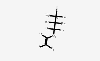 C/C(F)=C(\F)OC(F)(F)C(F)(F)C(F)(F)F